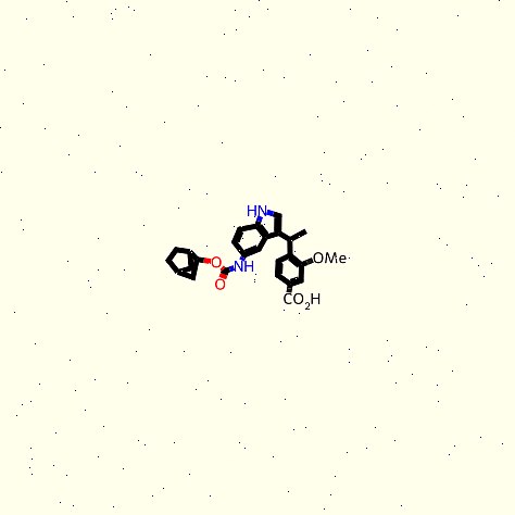 COc1cc(C(=O)O)ccc1C(C)c1c[nH]c2ccc(NC(=O)OC3CC4CCC3C4)cc12